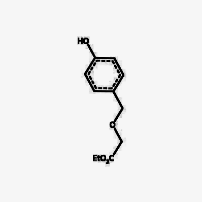 CCOC(=O)COCc1ccc(O)cc1